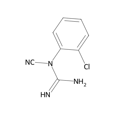 N#CN(C(=N)N)c1ccccc1Cl